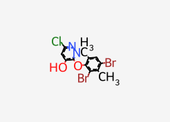 Cc1cc(Br)c(C)c(Br)c1Oc1nnc(Cl)cc1O